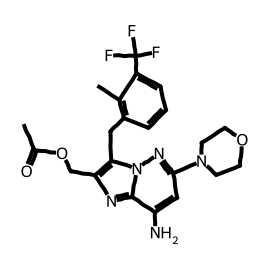 CC(=O)OCc1nc2c(N)cc(N3CCOCC3)nn2c1Cc1cccc(C(F)(F)F)c1C